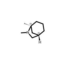 CN1C[C@H]2CCC[C@@]1(C)C2